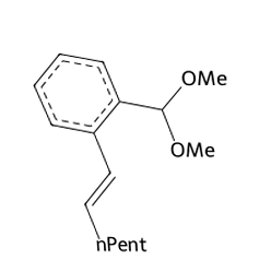 CCCCCC=Cc1ccccc1C(OC)OC